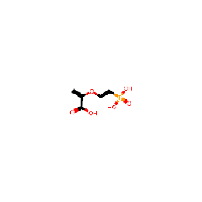 C=C(OC=CP(=O)(O)O)C(=O)O